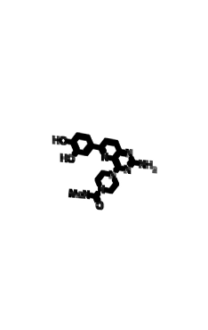 CNC(=O)N1CCN(c2nc(N)nc3ccc(-c4ccc(O)c(O)c4)nc23)CC1